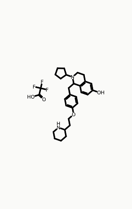 O=C(O)C(F)(F)F.Oc1ccc2c(c1)CCN(C1CCCC1)C2Cc1ccc(OCCC2CCCCN2)cc1